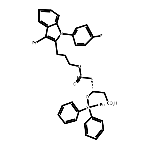 CC(C)c1c(CCCO[PH](=O)C[C@H](CC(=O)O)O[Si](c2ccccc2)(c2ccccc2)C(C)(C)C)n(-c2ccc(F)cc2)c2ccccc12